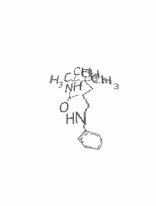 CC1(C)CC(CNc2ccccc2)C(=O)NC1(C)C